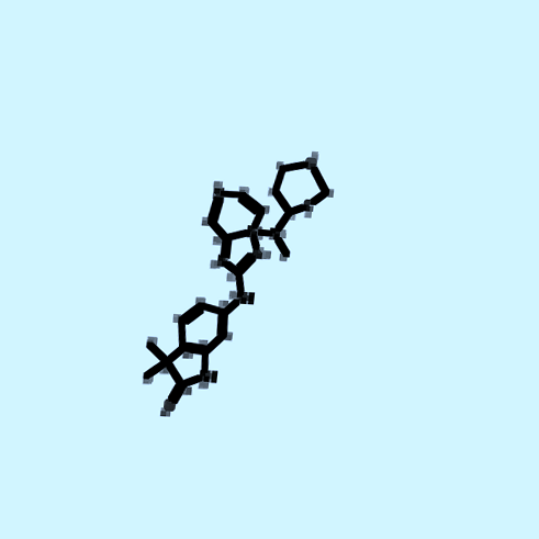 CN(C1CCOCC1)[N+]12C=CN=CC1=NC(Nc1ccc3c(c1)NC(=O)C3(C)C)=N2